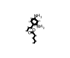 CCCCC(=O)OC(CC)c1ccc(N)cc1N